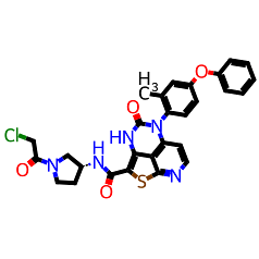 Cc1cc(Oc2ccccc2)ccc1N1C(=O)Nc2c(C(=O)N[C@@H]3CCN(C(=O)CCl)C3)sc3nccc1c23